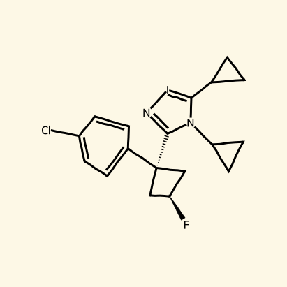 F[C@H]1C[C@@](C2=NI=C(C3CC3)N2C2CC2)(c2ccc(Cl)cc2)C1